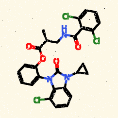 C[C@@H](CNC(=O)c1c(Cl)cccc1Cl)C(=O)Oc1ccccc1-n1c(=O)n(C2CC2)c2cccc(Cl)c21